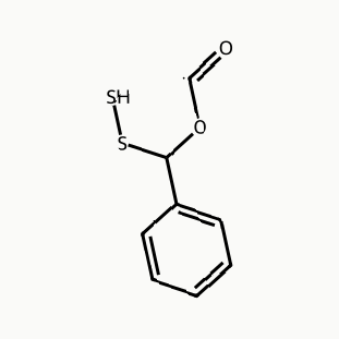 O=[C]OC(SS)c1ccccc1